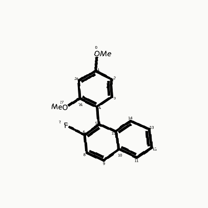 COc1ccc(-c2c(F)ccc3ccccc23)c(OC)c1